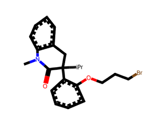 CC(C)C1(c2ccccc2OCCCBr)Cc2ccccc2N(C)C1=O